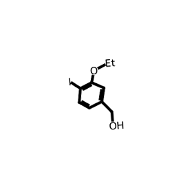 CCOc1cc(CO)ccc1I